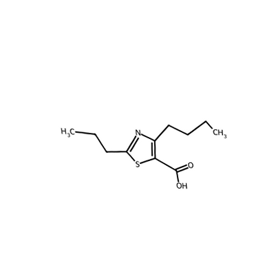 CCCCc1nc(CCC)sc1C(=O)O